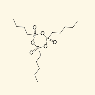 CCCCCP1(=O)OP(=O)(CCCC)OP(=O)(CCCCC)O1